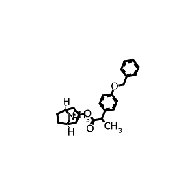 CC(C(=O)O[C@H]1C[C@H]2CC[C@@H](C1)N2C)c1ccc(OCc2ccccc2)cc1